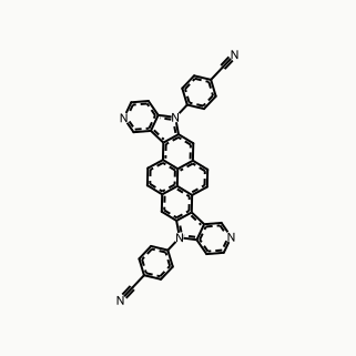 N#Cc1ccc(-n2c3ccncc3c3c4ccc5cc6c(c7ccc(cc32)c4c57)c2cnccc2n6-c2ccc(C#N)cc2)cc1